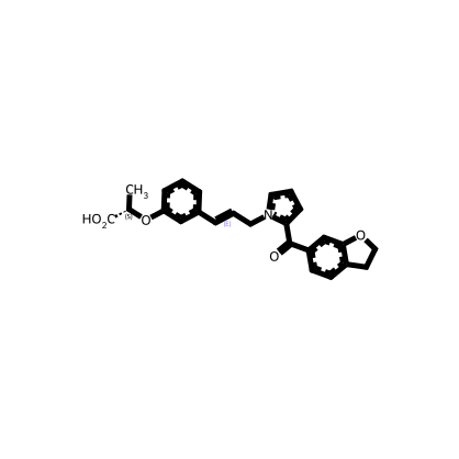 C[C@H](Oc1cccc(/C=C/Cn2cccc2C(=O)c2ccc3c(c2)OCC3)c1)C(=O)O